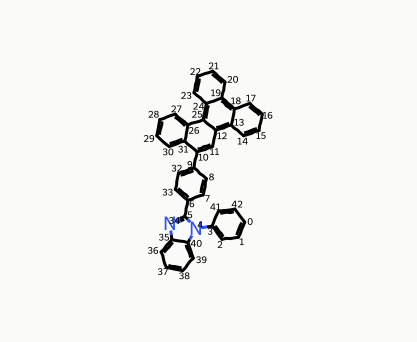 c1ccc(-n2c(-c3ccc(-c4cc5c6ccccc6c6ccccc6c5c5ccccc45)cc3)nc3ccccc32)cc1